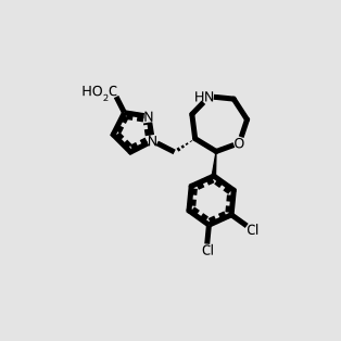 O=C(O)c1ccn(C[C@@H]2CNCCO[C@H]2c2ccc(Cl)c(Cl)c2)n1